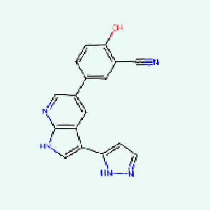 N#Cc1cc(-c2cnc3[nH]cc(-c4ccn[nH]4)c3c2)ccc1O